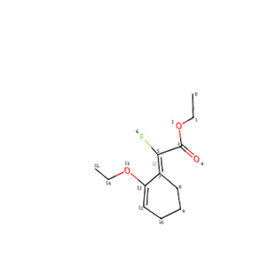 CCOC(=O)/C(F)=C1\CCCC=C1OCC